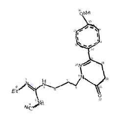 CC/N=C(\NC#N)NCCCN1N=C(c2ccc(OC)cc2)CCC1=O